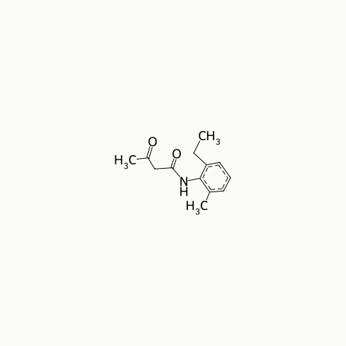 CCc1cccc(C)c1NC(=O)CC(C)=O